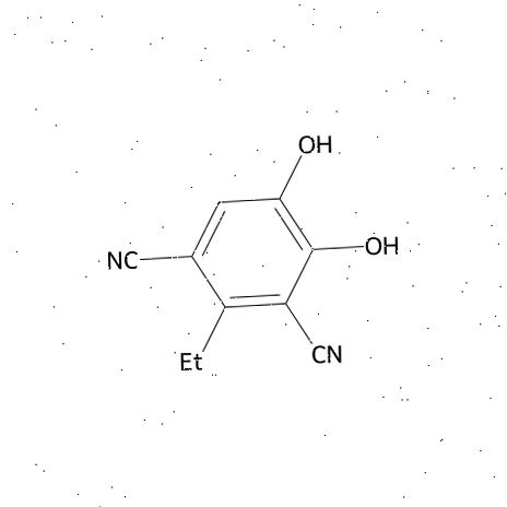 CCc1c(C#N)cc(O)c(O)c1C#N